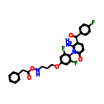 Nc1c(C(=O)c2ccc(F)cc2)ccc(=O)n1-c1c(F)cc(OCCCNOC(=O)Cc2ccccc2)cc1F